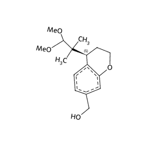 COC(OC)C(C)(C)[C@H]1CCOc2cc(CO)ccc21